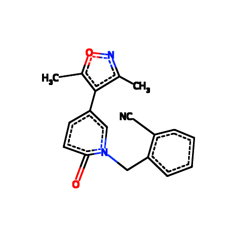 Cc1noc(C)c1-c1ccc(=O)n(Cc2ccccc2C#N)c1